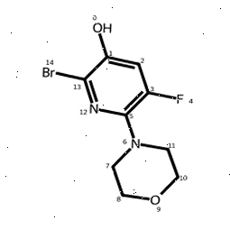 Oc1cc(F)c(N2CCOCC2)nc1Br